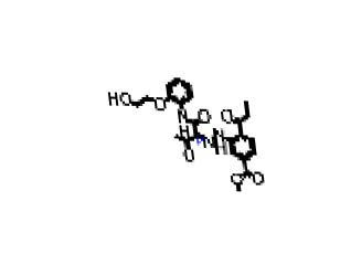 CCC(=O)c1ccc(C(=O)OC)cc1N/N=C(/C(C)=O)C(=O)Nc1ccccc1OCCO